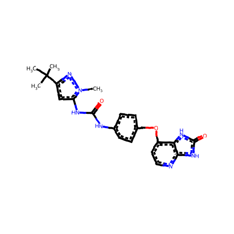 Cn1nc(C(C)(C)C)cc1NC(=O)Nc1ccc(Oc2ccnc3[nH]c(=O)[nH]c23)cc1